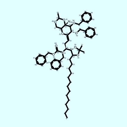 CCCCCCCCCCCCCCC1OC(C)(C)O[C@H]1[C@H](CC=C1OC2COC(C)O[C@@H]2C(OCc2ccccc2)[C@@H]1OCc1ccccc1)N(Cc1ccccc1)C(=O)OCc1ccccc1